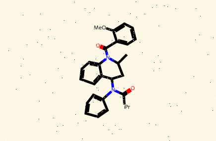 COc1ccccc1C(=O)N1c2ccccc2C(N(C(=O)C(C)C)c2ccccc2)CC1C